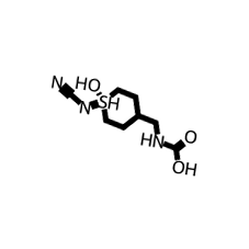 N#CN=[SH]1(O)CCC(CNC(=O)O)CC1